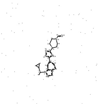 CC(C1CC1)n1ncc2ccc(-c3noc(C4CCN(C=O)CC4)n3)cc21